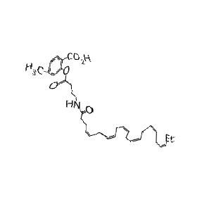 CC/C=C\C/C=C\C/C=C\C/C=C\C/C=C\C/C=C\CCC(=O)NCCCC(=O)Oc1cc(C)ccc1C(=O)O